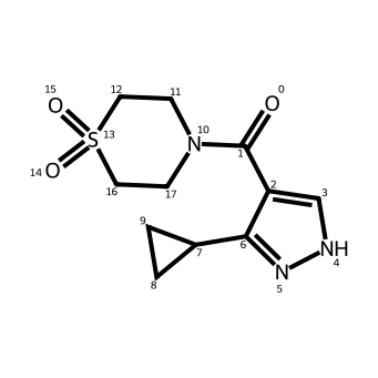 O=C(c1c[nH]nc1C1CC1)N1CCS(=O)(=O)CC1